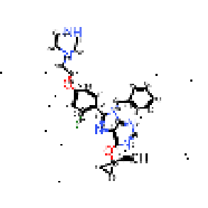 C#CC1(Oc2ncnc3c2nc(-c2ccc(OCCN4CCNCC4)cc2Cl)n3Cc2ccccc2)CC1